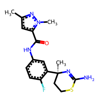 Cc1cc(C(=O)Nc2ccc(F)c([C@]3(C)CCSC(N)=N3)c2)n(C)n1